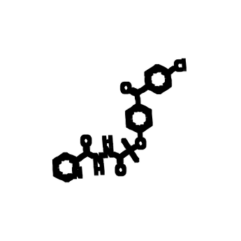 CC(C)(Oc1ccc(C(=O)c2ccc(Cl)cc2)cc1)C(=O)NNC(=O)c1ccccn1